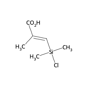 CC(=C[Si](C)(C)Cl)C(=O)O